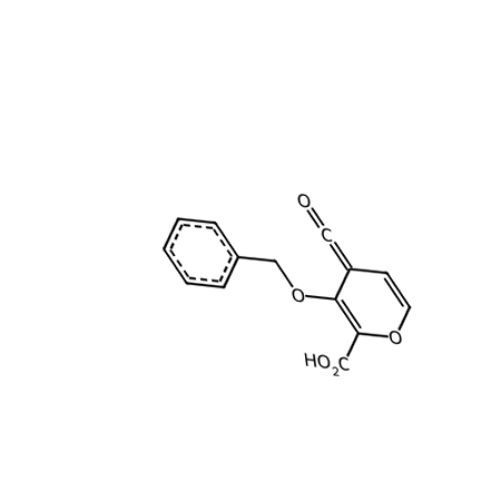 O=C=C1C=COC(C(=O)O)=C1OCc1ccccc1